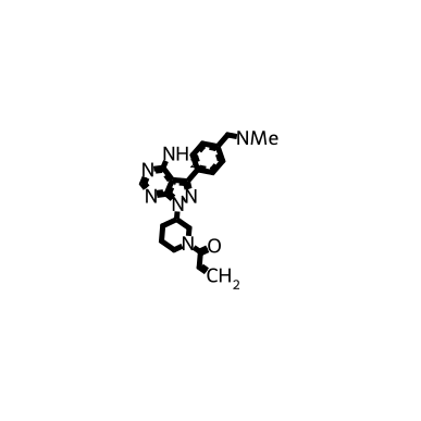 C=CC(=O)N1CCCC(n2nc(-c3ccc(CNC)cc3)c3c(N)ncnc32)C1